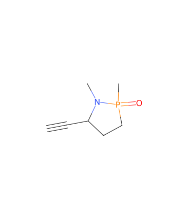 C#CC1CCP(C)(=O)N1C